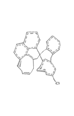 Clc1ccc2c(c1)-c1ccccc1C21C2=c3c(ccc4cccc1c34)=CC=CC2